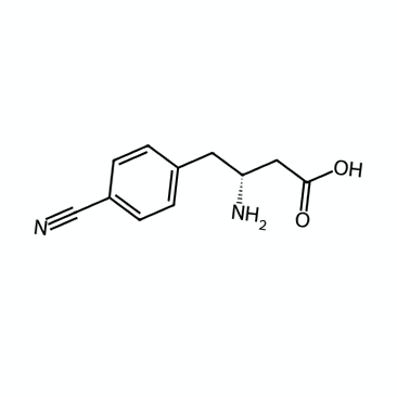 N#Cc1ccc(C[C@@H](N)CC(=O)O)cc1